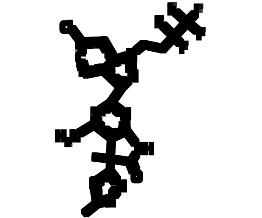 Cc1nnc(C2(C)C(=O)Nc3nc(-c4nn(CCC(F)(F)C(F)(F)F)c5cc(Cl)ccc45)nc(N)c32)s1